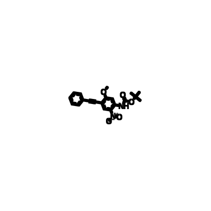 COc1cc(NC(=O)OC(C)(C)C)c([N+](=O)[O-])cc1C#Cc1ccccc1